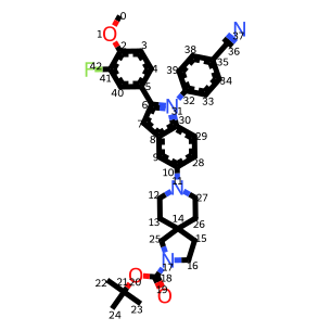 COc1ccc(-c2cc3cc(N4CCC5(CCN(C(=O)OC(C)(C)C)C5)CC4)ccc3n2-c2ccc(C#N)cc2)cc1F